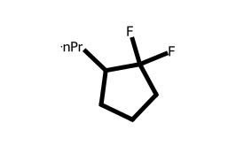 CC[CH]C1CCCC1(F)F